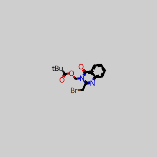 CC(C)(C)C(=O)OCn1c(CBr)nc2ccccc2c1=O